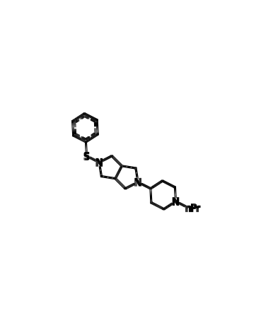 CCCN1CCC(N2CC3CN(Sc4ccccc4)CC3C2)CC1